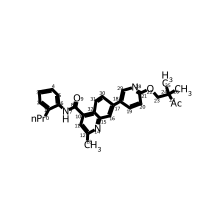 CCCc1ccccc1NC(=O)c1cc(C)nc2cc(-c3ccc(OCC(C)(C)C(C)=O)nc3)ccc12